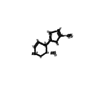 Cc1nnc(N2CCNCC2)s1.Cl